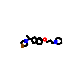 CC(C1Cc2ccc(OCCCN3CCCCC3)cc2C1)N1CCSCC1